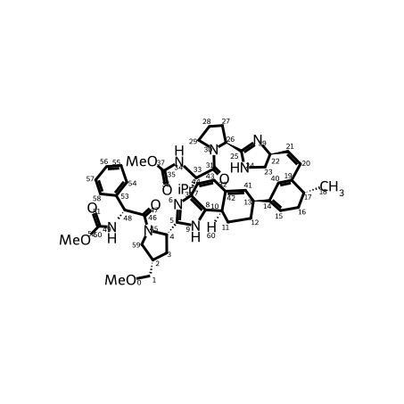 COC[C@H]1C[C@@H](c2nc3c([nH]2)[C@@H]2CC[C@H](C4=CC[C@@H](C)C(/C=C\[C@H]5CNC([C@@H]6CCCN6C(=O)[C@@H](NC(=O)OC)C(C)C)=N5)=C4)C=C2C=C3)N(C(=O)[C@H](NC(=O)OC)c2ccccc2)C1